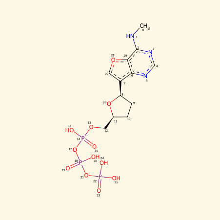 CNc1ncnc2c([C@H]3CC[C@@H](COP(=O)(O)OP(=O)(O)OP(=O)(O)O)O3)coc12